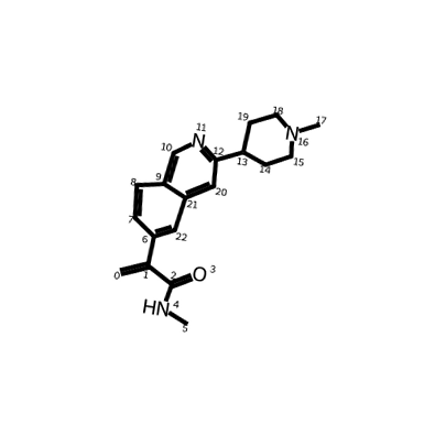 C=C(C(=O)NC)c1ccc2cnc(C3CCN(C)CC3)cc2c1